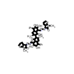 Cc1cc2c(C(C)C)c(O)c(O)c(/C=N/N=C3\C(=O)N(C)c4ncccc43)c2c(O)c1-c1c(C)cc2c(C(C)C)c(O)c(O)c(/C=N/N=C3/C(=O)N(C)c4ncccc43)c2c1O